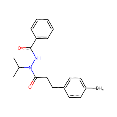 Bc1ccc(CCC(=O)N(NC(=O)c2ccccc2)C(C)C)cc1